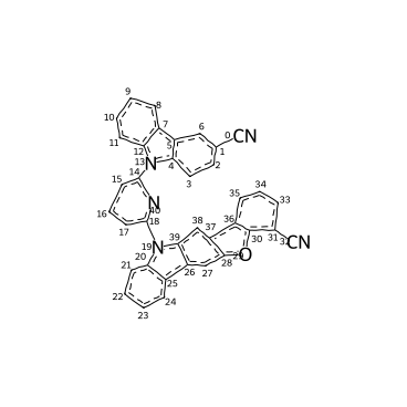 N#Cc1ccc2c(c1)c1ccccc1n2-c1cccc(-n2c3ccccc3c3cc4oc5c(C#N)cccc5c4cc32)n1